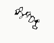 O=C(C1CCCC1)N1CCC(c2nc(C(=O)N3CCCC4CCCC=C43)cs2)CC1